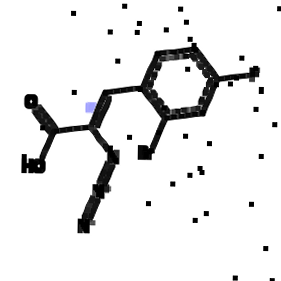 [N-]=[N+]=N/C(=C\c1ccc(F)cc1Br)C(=O)O